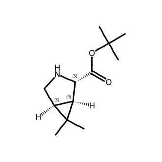 CC(C)(C)OC(=O)[C@H]1NC[C@H]2[C@@H]1C2(C)C